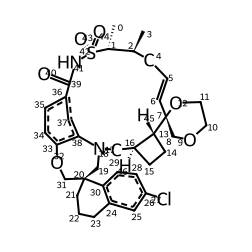 C[C@@H]1[C@@H](C)C/C=C/[C@@]2(COCCO2)[C@@H]2CC[C@H]2CN2C[C@@]3(CCCc4cc(Cl)ccc43)COc3ccc(cc32)C(=O)NS1(=O)=O